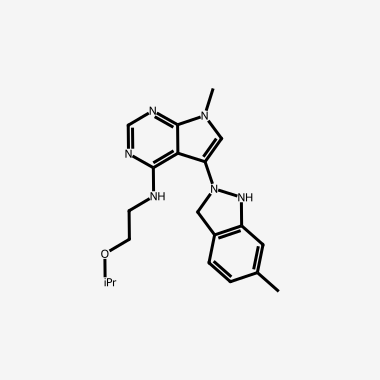 Cc1ccc2c(c1)NN(c1cn(C)c3ncnc(NCCOC(C)C)c13)C2